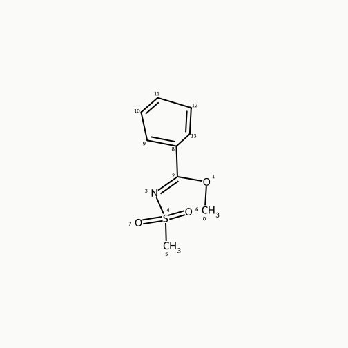 COC(=NS(C)(=O)=O)c1ccccc1